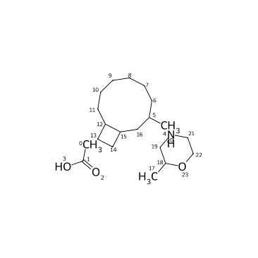 CC(=O)O.CC1CCCCCCC2CCC2C1.CC1CNCCO1